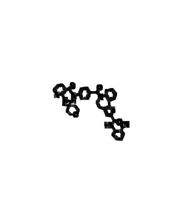 N#Cc1ccccc1NC(=O)c1cc2c(s1)-c1ccccc1N(C(=O)c1ccc(NC(=O)c3cccnc3N3CC4(CCOCC4)C3)cc1)CC2